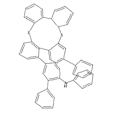 C1=CC2Sc3cc(-c4ccccc4)ccc3-c3c(cccc3-c3ccc(Nc4ccccc4)c(-c4ccccc4)c3)Sc3ccccc3C2C=C1